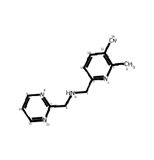 Cc1nc(CNCc2ncccn2)ccc1C#N